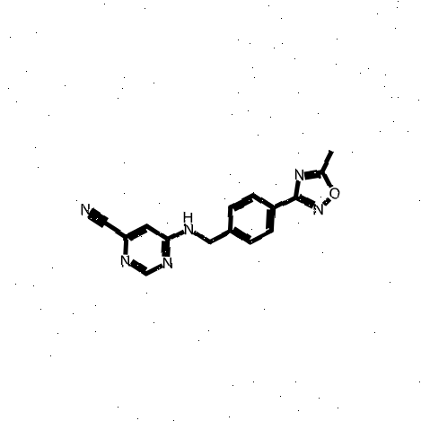 Cc1nc(-c2ccc(CNc3cc(C#N)ncn3)cc2)no1